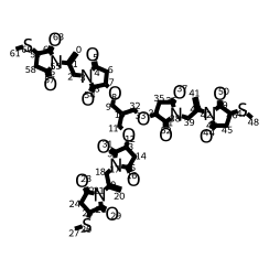 C=C(CN1C(=O)CC(OCC(COC2CC(=O)N(CC(=C)N3C(=O)CC(SC)C3=O)C2=O)COC2CC(=O)N(CC(=C)N3C(=O)CC(SC)C3=O)C2=O)C1=O)N1C(=O)CC(SC)C1=O